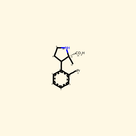 CC(C)c1ccccc1C1CCN[C@]1(C)C(=O)O